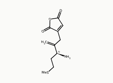 C=C(CC1=CC(=O)OC1=O)[C@@H](N)CCSC